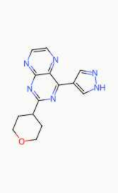 c1cnc2c(-c3cn[nH]c3)nc(C3CCOCC3)nc2n1